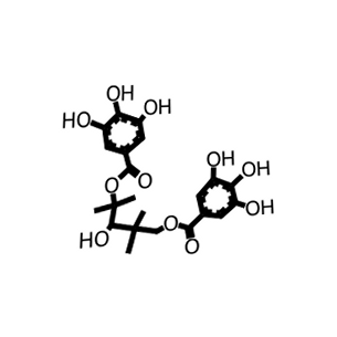 CC(C)(COC(=O)c1cc(O)c(O)c(O)c1)C(O)C(C)(C)OC(=O)c1cc(O)c(O)c(O)c1